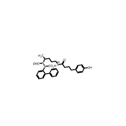 CC(CCCNC(=O)CCCc1ccc(O)cc1)N(C=O)N(C(=O)O)c1ccccc1-c1ccccc1